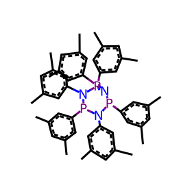 Cc1cc(C)cc(N2P(c3cc(C)cc(C)c3)N=P(c3cc(C)cc(C)c3)(c3cc(C)cc(C)c3)N(c3cc(C)cc(C)c3)P2c2cc(C)cc(C)c2)c1